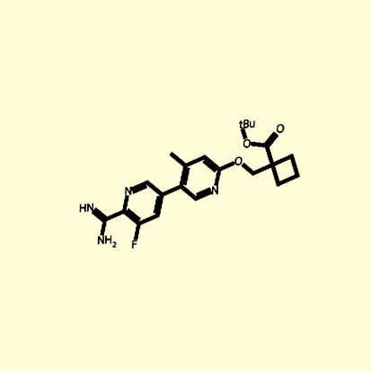 Cc1cc(OCC2(C(=O)OC(C)(C)C)CCC2)ncc1-c1cnc(C(=N)N)c(F)c1